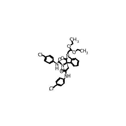 CCOC(CN1C(=O)[C@@](CC(=O)Nc2ccc(Cl)cc2)(NC(=O)Nc2ccc(Cl)cc2)c2ccccc21)OCC